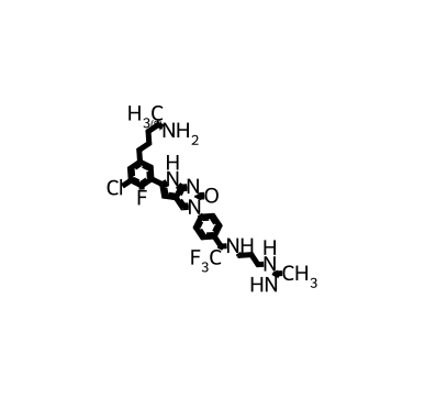 CC(=N)NCCCNC(c1ccc(-n2cc3cc(-c4cc(CCC[C@H](C)N)cc(Cl)c4F)[nH]c3nc2=O)cc1)C(F)(F)F